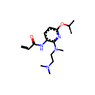 C=CC(=O)Nc1ccc(OC(C)C)nc1N(C)CCN(C)C